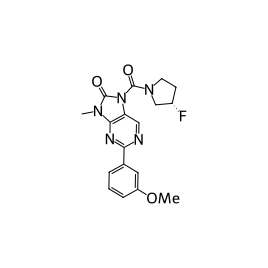 COc1cccc(-c2ncc3c(n2)n(C)c(=O)n3C(=O)N2CC[C@H](F)C2)c1